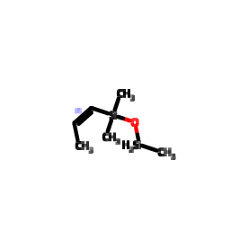 C/C=C\[Si](C)(C)O[SiH2]C